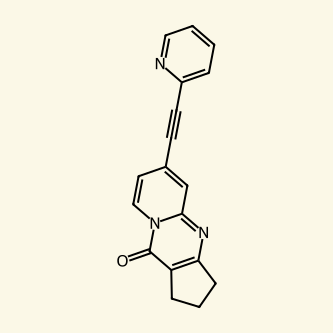 O=c1c2c(nc3cc(C#Cc4ccccn4)ccn13)CCC2